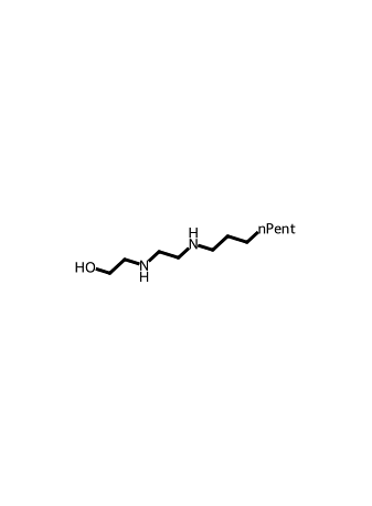 CCCCCCCCNCCNCCO